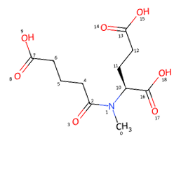 CN(C(=O)CCCC(=O)O)[C@@H](CCC(=O)O)C(=O)O